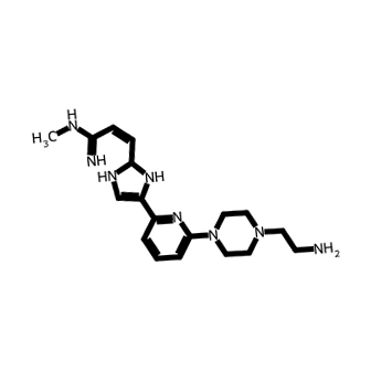 CNC(=N)/C=C\C1NC=C(c2cccc(N3CCN(CCN)CC3)n2)N1